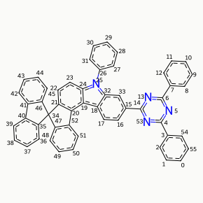 c1ccc(-c2nc(-c3ccccc3)nc(-c3ccc4c5c6c(ccc5n(-c5ccccc5)c4c3)C3(c4ccccc4-c4ccccc43)c3ccccc3-6)n2)cc1